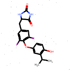 CC(C)c1cc(Oc2c(I)cc(CC3NC(=O)NC3=O)cc2I)ccc1O